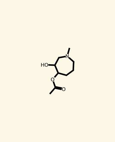 CC(=O)OC1CCCN(C)CC1O